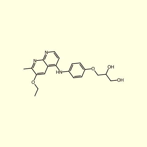 CCOc1cc2c(Nc3ccc(OCC(O)CO)cc3)ccnc2nc1C